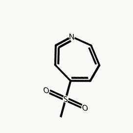 CS(=O)(=O)C1=CC=CN=C=C1